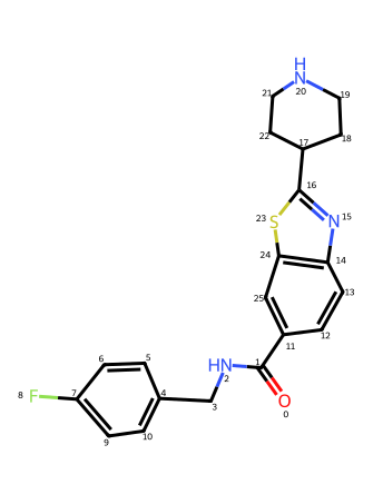 O=C(NCc1ccc(F)cc1)c1ccc2nc(C3CCNCC3)sc2c1